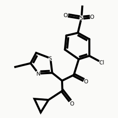 Cc1csc(C(C(=O)c2ccc(S(C)(=O)=O)cc2Cl)C(=O)C2CC2)n1